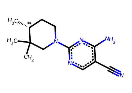 C[C@@H]1CCN(c2ncc(C#N)c(N)n2)CC1(C)C